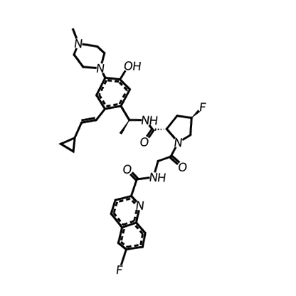 C[C@H](NC(=O)[C@@H]1C[C@@H](F)CN1C(=O)CNC(=O)c1ccc2cc(F)ccc2n1)c1cc(O)c(N2CCN(C)CC2)cc1/C=C/C1CC1